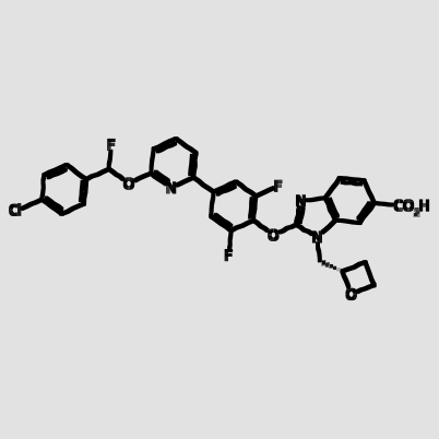 O=C(O)c1ccc2nc(Oc3c(F)cc(-c4cccc(OC(F)c5ccc(Cl)cc5)n4)cc3F)n(C[C@@H]3CCO3)c2c1